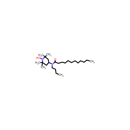 CCCCCCCCCCCC(=O)N(CCCC)C1CC(C)(C)N(O)C(C)(C)C1